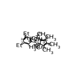 CCc1cc(CC)cc([Si](C)(C(C)CC)C2(C)C(C)=C(C)C(C)=[C]2[Ti]([CH3])[CH3])c1